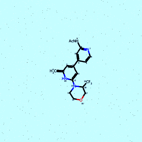 C=C1C=C(c2ccnc(NC(C)=O)c2)C=C(N2CCOCC2C(F)(F)F)N1